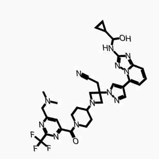 CN(C)Cc1cc(C(=O)N2CCC(N3CC(CC#N)(n4cc(-c5cccc6nc(NC(O)C7CC7)nn56)cn4)C3)CC2)nc(C(F)(F)F)n1